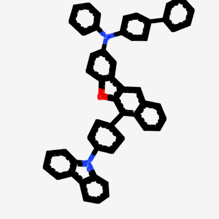 c1ccc(-c2ccc(N(c3ccccc3)c3ccc4oc5c(-c6ccc(-n7c8ccccc8c8ccccc87)cc6)c6ccccc6cc5c4c3)cc2)cc1